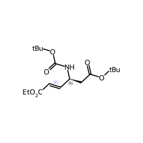 CCOC(=O)/C=C/[C@H](CC(=O)OC(C)(C)C)NC(=O)OC(C)(C)C